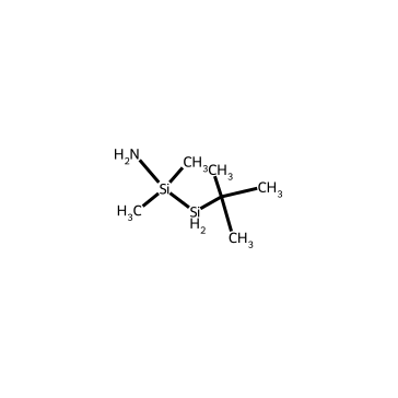 CC(C)(C)[SiH2][Si](C)(C)N